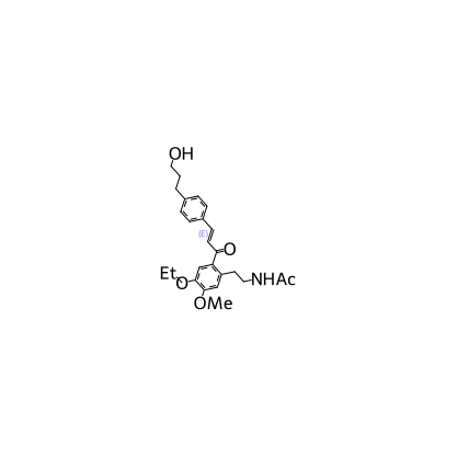 CCOc1cc(C(=O)/C=C/c2ccc(CCCO)cc2)c(CCNC(C)=O)cc1OC